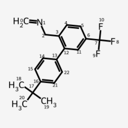 C=NCc1ccc(C(F)(F)F)cc1-c1ccc(C(C)(C)C)cc1